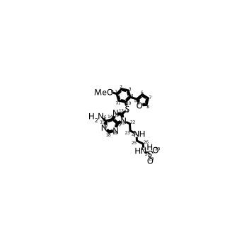 COc1ccc(-c2ccco2)c(Sc2nc3c(N)ncnc3n2CCNCCN[SH](=O)=O)c1